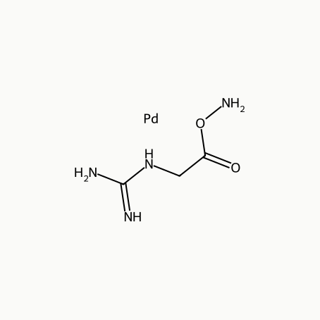 N=C(N)NCC(=O)ON.[Pd]